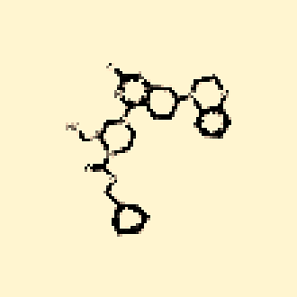 N#CC[C@H]1CN(c2nc(Cl)nc3c2CCC(N2CCOc4ccccc42)C3)CCN1C(=O)OCc1ccccc1